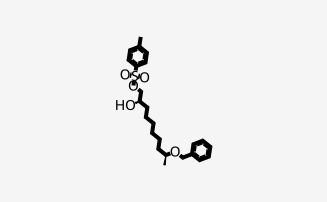 Cc1ccc(S(=O)(=O)OC[C@H](O)CCCCCC[C@H](C)OCc2ccccc2)cc1